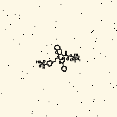 CC(C)(C)OC(=O)NC[C@H](Cc1ccccc1)C(=O)N(CCc1ccc(NS(=O)(=O)O)cc1)c1ncc(-c2ccccc2)s1